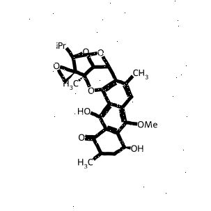 COc1c2c(c(O)c3c4c(c(C)cc13)C1OC3(C(C)C)OC1[C@@](C)(O4)[C@@]31CO1)C(=O)C(C)C[C@@H]2O